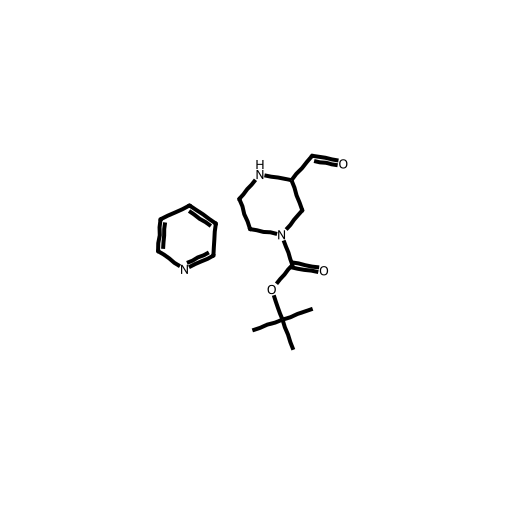 CC(C)(C)OC(=O)N1CCNC(C=O)C1.c1ccncc1